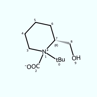 CC(C)(C)[N+]1(C(=O)[O-])CCCC[C@@H]1CO